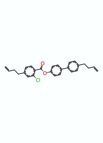 C=CCCc1ccc(-c2ccc(OC(=O)c3ccc(CCC=C)cc3Cl)cc2)cc1